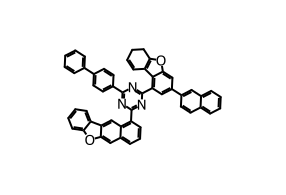 C1=Cc2c(oc3cc(-c4ccc5ccccc5c4)cc(-c4nc(-c5ccc(-c6ccccc6)cc5)nc(-c5cccc6cc7oc8ccccc8c7cc56)n4)c23)CC1